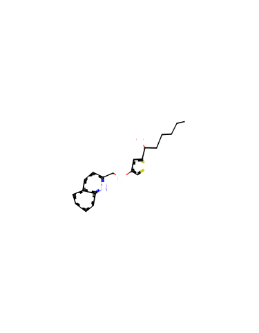 CCCCCC(O)c1cc(OCc2ccc3ccccc3n2)cs1